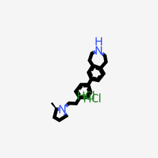 C[C@@H]1CCCN1CCc1ccc(-c2ccc3c(c2)CCNCC3)cc1.Cl.Cl